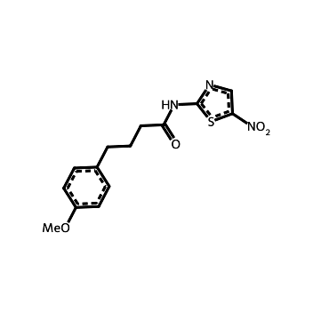 COc1ccc(CCCC(=O)Nc2ncc([N+](=O)[O-])s2)cc1